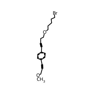 COCC#Cc1ccc(C#CCCOCCCCCBr)cc1